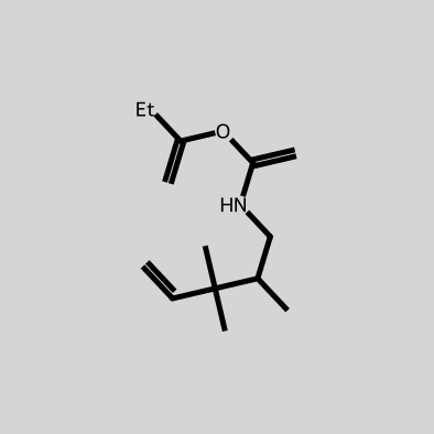 C=CC(C)(C)C(C)CNC(=C)OC(=C)CC